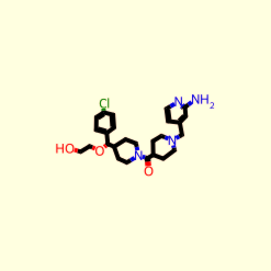 Nc1cc(CN2CCC(C(=O)N3CCC(C(OCCO)c4ccc(Cl)cc4)CC3)CC2)ccn1